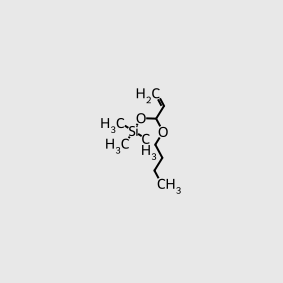 C=CC(OCCCC)O[Si](C)(C)C